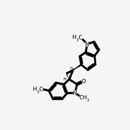 Cc1ccc2c(c1)[C@]1(C[C@H]1c1ccc3ccn(C)c3c1)C(=O)N2C